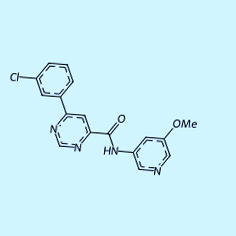 COc1cncc(NC(=O)c2cc(-c3cccc(Cl)c3)ncn2)c1